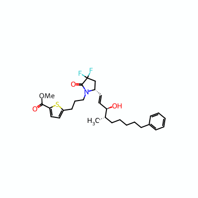 COC(=O)c1ccc(CCCN2C(=O)C(F)(F)C[C@@H]2/C=C/[C@@H](O)[C@@H](C)CCCCCc2ccccc2)s1